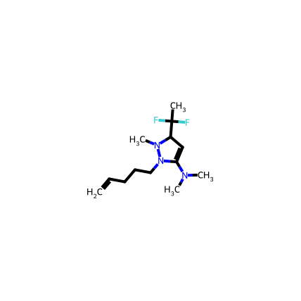 C=CCCCN1C(N(C)C)=CC(C(C)(F)F)N1C